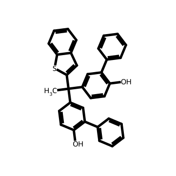 CC(c1ccc(O)c(-c2ccccc2)c1)(c1ccc(O)c(-c2ccccc2)c1)c1cc2ccccc2s1